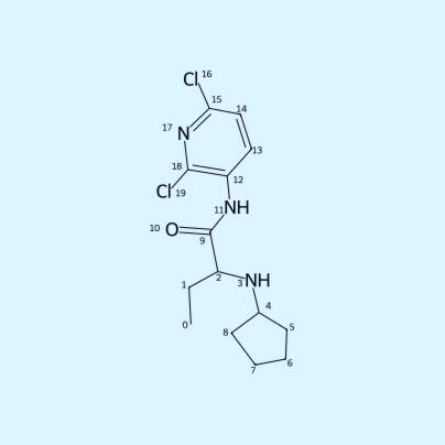 CCC(NC1CCCC1)C(=O)Nc1ccc(Cl)nc1Cl